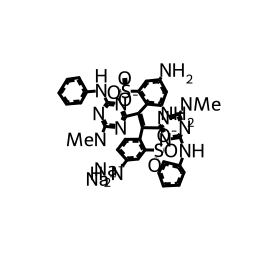 CNc1nc(Nc2ccccc2)nc(C(=C(c2nc(NC)nc(Nc3ccccc3)n2)c2c(N)cc(N)cc2S(=O)(=O)[O-])c2ccc(N)cc2S(=O)(=O)[O-])n1.[Na+].[Na+]